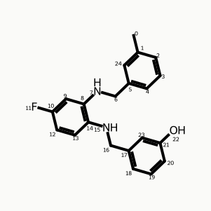 Cc1cccc(CNc2cc(F)ccc2NCc2cccc(O)c2)c1